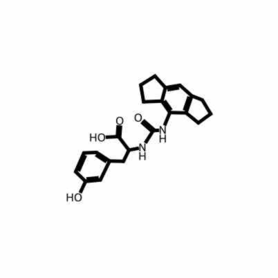 O=C(Nc1c2c(cc3c1CCC3)CCC2)NC(Cc1cccc(O)c1)C(=O)O